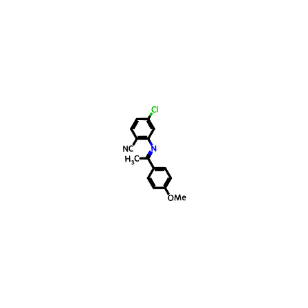 COc1ccc(/C(C)=N/c2cc(Cl)ccc2C#N)cc1